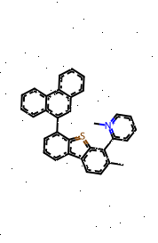 Cc1ccc2c(sc3c(-c4cc5ccccc5c5ccccc45)cccc32)c1-c1cccc[n+]1C